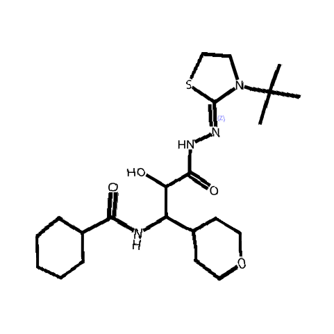 CC(C)(C)N1CCS/C1=N\NC(=O)C(O)C(NC(=O)C1CCCCC1)C1CCOCC1